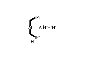 CC(C)[CH2][Al+][CH2]C(C)C.[Al+3].[H-].[H-].[H-].[H-]